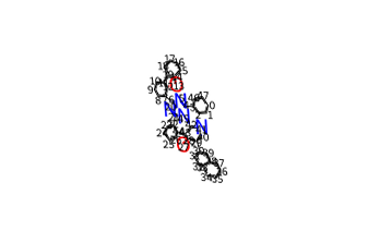 c1ccc(-c2nc(-c3cccc4c3oc3ccccc34)nc(-c3cccc4oc5c(-c6ccc7ccccc7c6)cncc5c34)n2)cc1